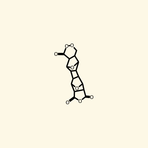 O=C1OOCC2C3OC(C12)C1C3C2C3OC(C4C(=O)OC(=O)C34)C12